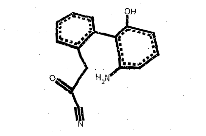 N#CC(=O)Cc1ccccc1-c1c(N)cccc1O